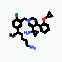 C[C@H](CCCCN)c1ccc(Cl)c(CN2C=C(C3(N)CC3)C(c3ccccc3OC3CC3)=CC2)c1